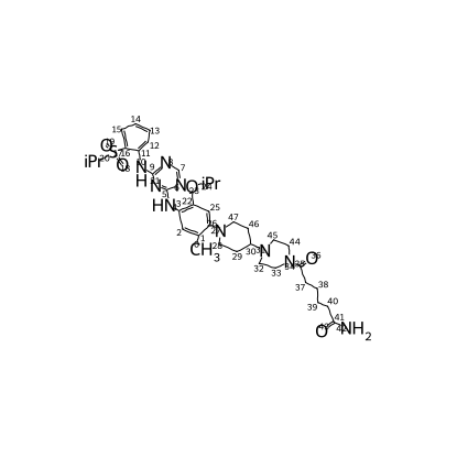 Cc1cc(Nc2ncnc(Nc3ccccc3S(=O)(=O)C(C)C)n2)c(OC(C)C)cc1N1CCC(N2CCN(C(=O)CCCCC(N)=O)CC2)CC1